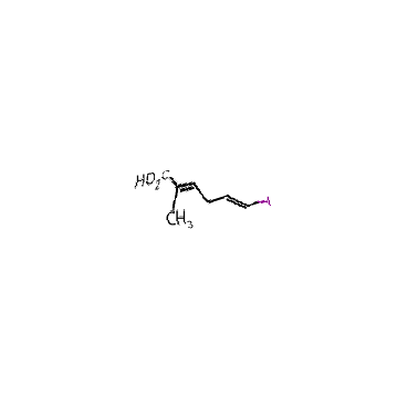 CC(=CCC=CI)C(=O)O